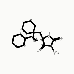 CN1C(=N)N[C@](CCC2CCCCC2)(CC2(C)CCCCC2)C1=O